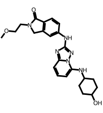 COCCN1Cc2cc(Nc3nc4cccc(NC5CCC(O)CC5)n4n3)ccc2C1=O